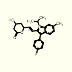 Cc1ccc2c(-c3ccc(F)cc3)c(/C=C/C3CC(O)CC(=O)O3)n(C(C)C)c2c1